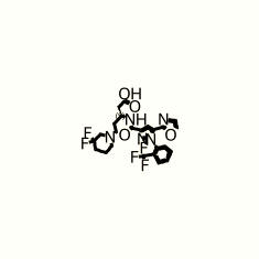 O=C(O)C[C@H](CCN1CCCC(F)(F)C1)NC(=O)c1cc(-c2ncco2)n(-c2ccccc2C(F)(F)F)n1